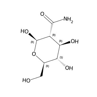 NC(=O)[C@@H]1[C@@H](O)[C@H](O)[C@@H](CO)O[C@H]1O